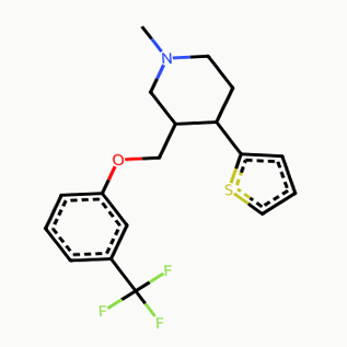 CN1CCC(c2cccs2)C(COc2cccc(C(F)(F)F)c2)C1